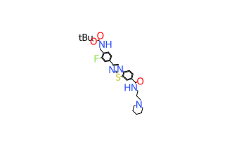 CC(C)(C)OC(=O)NCc1ccc(-c2cn3c(n2)sc2cc(C(=O)NCCCN4CCCCC4)ccc23)cc1F